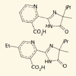 CC(C)C1(C)N=C(c2ncccc2C(=O)O)NC1=O.CCc1cnc(C2=NC(C)(C(C)C)C(=O)N2)c(C(=O)O)c1